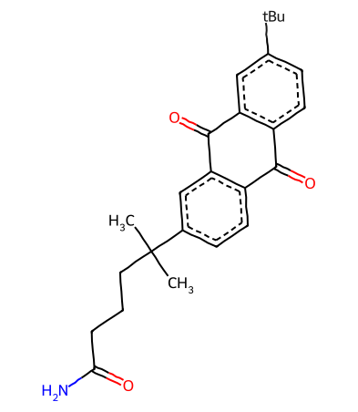 CC(C)(C)c1ccc2c(c1)C(=O)c1cc(C(C)(C)CCCC(N)=O)ccc1C2=O